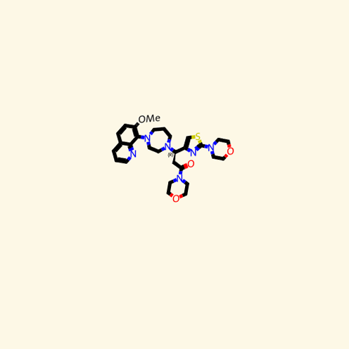 COc1ccc2cccnc2c1N1CCCN([C@H](CC(=O)N2CCOCC2)c2csc(N3CCOCC3)n2)CC1